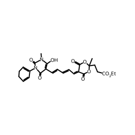 CCOC(=O)CCC1(C)OC(=O)C(=C/C=C/C=C/c2c(O)n(C)c(=O)n(C3=CCCC=C3)c2=O)C(=O)O1